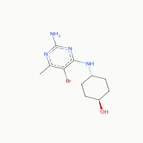 Cc1nc(N)nc(N[C@H]2CC[C@H](O)CC2)c1Br